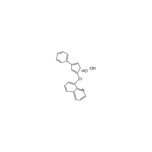 C1=[C]([Cr][c]2cccc3cccnc23)CC=C1c1ccccc1.Cl.Cl